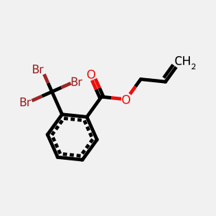 C=CCOC(=O)c1ccccc1C(Br)(Br)Br